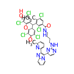 Cc1cccc(-c2nc3ccccn3c2-c2ccnc(NCCCCNC(=O)c3cc(Cl)c(C(=O)O)c(C4c5cc(Cl)c(O)c(Cl)c5OC5=C(Cl)C(=O)C(Cl)=CC54)c3Cl)n2)n1